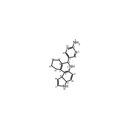 Nc1ncc(C2NC3=C(C4=C2CCCC4)C2C=CNC2C=C3)cn1